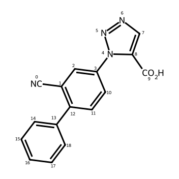 N#Cc1cc(-n2nncc2C(=O)O)ccc1-c1ccccc1